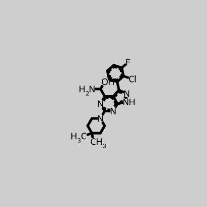 CC1(C)CCN(c2nc(C(N)O)c3c(-c4cccc(F)c4Cl)n[nH]c3n2)CC1